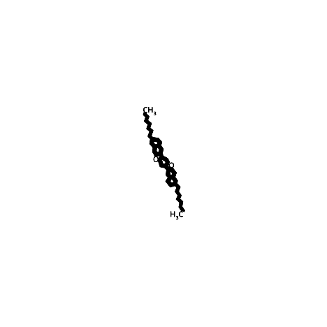 CCCCCCCCc1ccc2cc3c(cc2c1)oc1cc2c(cc13)oc1cc3cc(CCCCCCCC)ccc3cc12